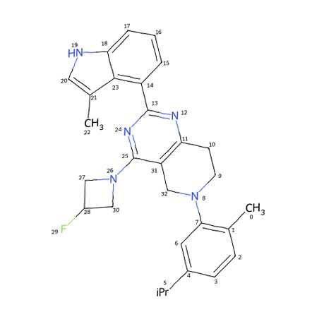 Cc1ccc(C(C)C)cc1N1CCc2nc(-c3cccc4[nH]cc(C)c34)nc(N3CC(F)C3)c2C1